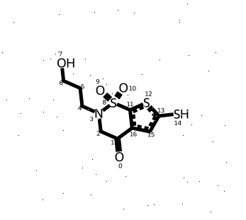 O=C1CN(CCCO)S(=O)(=O)c2sc(S)cc21